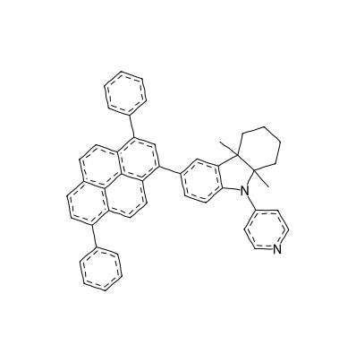 CC12CCCCC1(C)N(c1ccncc1)c1ccc(-c3cc(-c4ccccc4)c4ccc5ccc(-c6ccccc6)c6ccc3c4c56)cc12